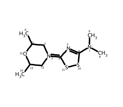 CC1C[N+](=c2nc(N(C)C)ss2)CC(C)O1